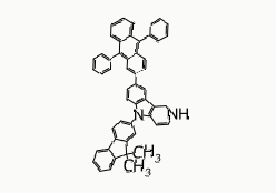 CC1(C)c2ccccc2-c2ccc(-n3c4c(c5cc(-c6ccc7c(-c8ccccc8)c8ccccc8c(-c8ccccc8)c7c6)ccc53)CNC=C4)cc21